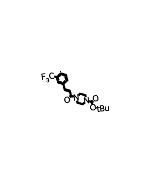 CC(C)(C)OC(=O)N1CCN(C(=O)/C=C/c2cc[c]c(C(F)(F)F)c2)CC1